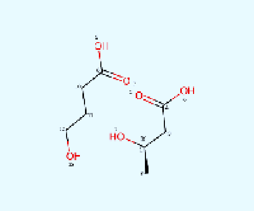 C[C@@H](O)CC(=O)O.O=C(O)CCCO